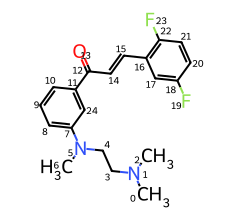 CN(C)CCN(C)c1cccc(C(=O)C=Cc2cc(F)ccc2F)c1